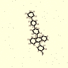 Fc1ccc(-c2c3ccccc3c(-c3ccc(-c4ccc(-c5ccccc5)cc4)cc3)c3ccccc23)cc1